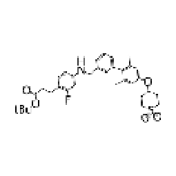 Cc1cc(OC2CCS(=O)(=O)CC2)cc(C)c1-c1cccc(CNc2ccc(CCC(=O)OC(C)(C)C)c(F)c2)c1